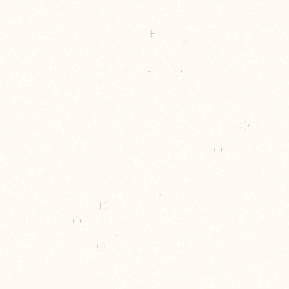 C=CC(=O)OC(C)(C)CC(C)(S)Oc1ccc2cc(-c3ccccc3OC(F)(F)F)c(=O)oc2c1